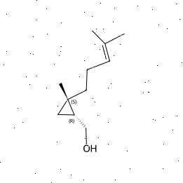 CC(C)=CCC[C@@]1(C)C[C@H]1CO